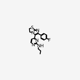 CCCNc1nccc(-c2c(-c3ccc(F)cc3)nc3n2CCS3)n1